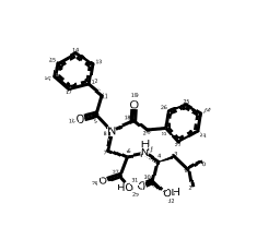 CC(C)C[C@H](NC(CN(C(=O)Cc1ccccc1)C(=O)Cc1ccccc1)C(=O)O)C(=O)O